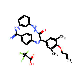 C=CCOc1c(C)cc(C(Nc2ccc(C(=N)N)cc2)C(=O)NNc2ccccc2)cc1C.O=C(O)C(F)(F)F